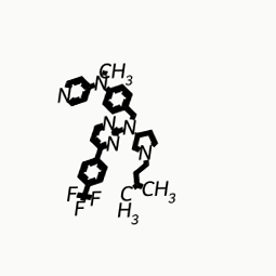 CC(C)CCN1CC[C@@H](N(Cc2ccc(N(C)c3ccncc3)cc2)c2nccc(-c3ccc(C(F)(F)F)cc3)n2)C1